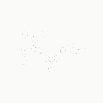 CC1(C)c2ccc(-c3ccc4c(c3)c3cc(-c5ccc6c(c5)c5cc7c(cc5n6-c5cc(-c6ccccc6)cc(-c6ccccc6)c5)c5ccccc5n7-c5ccccc5)ccc3n4-c3ccccc3)cc2-c2cc3sc4ccccc4c3cc21